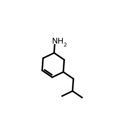 CC(C)CC1C=CCC(N)C1